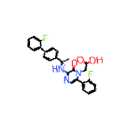 C[C@@H](Nc1ncc(-c2ccccc2F)n(CC(=O)O)c1=O)c1ccc(-c2ccccc2F)cc1